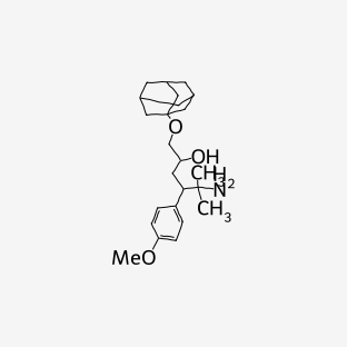 COc1ccc(C(CC(O)COC23CC4CC(CC(C4)C2)C3)C(C)(C)N)cc1